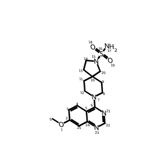 COc1ccc2c(N3CCC4(CC3)CCN(S(N)(=O)=O)C4)ncnc2c1